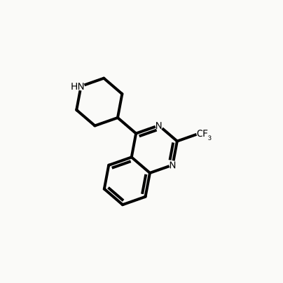 FC(F)(F)c1nc(C2CCNCC2)c2ccccc2n1